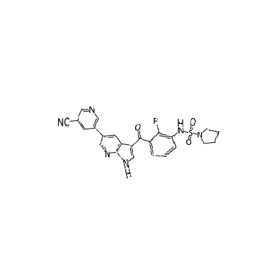 N#Cc1cncc(-c2cnc3[nH]cc(C(=O)c4cccc(NS(=O)(=O)N5CCCC5)c4F)c3c2)c1